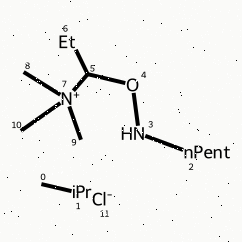 CC(C)C.CCCCCNOC(CC)[N+](C)(C)C.[Cl-]